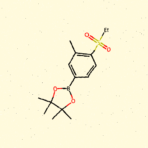 CCS(=O)(=O)c1ccc(B2OC(C)(C)C(C)(C)O2)cc1C